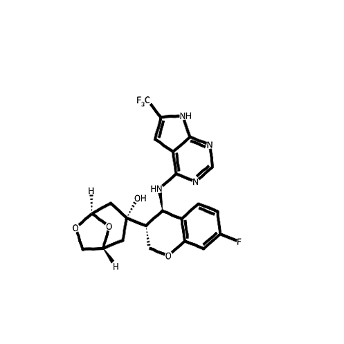 O[C@]1([C@H]2COc3cc(F)ccc3[C@@H]2Nc2ncnc3[nH]c(C(F)(F)F)cc23)C[C@@H]2CO[C@@H](C1)O2